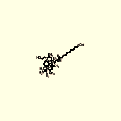 CCCCCCCC/C=C/CCCCCCCC(=O)NCC[N+](C1CCCCC1)(C(C)(C)CC(C)OCCO)C(C)(C)CC(C)OC(C)(C)N